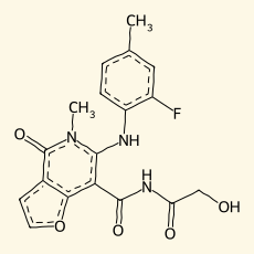 Cc1ccc(Nc2c(C(=O)NC(=O)CO)c3occc3c(=O)n2C)c(F)c1